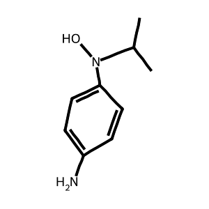 CC(C)N(O)c1ccc(N)cc1